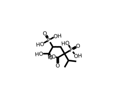 CC(C)C(CC(C(=O)O)P(=O)(O)O)(C(=O)O)P(=O)(O)O